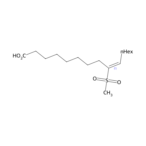 CCCCCC/C=C(\CCCCCCCC(=O)O)S(C)(=O)=O